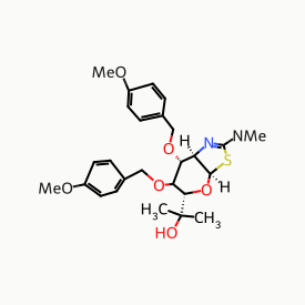 CNC1=N[C@H]2[C@H](O[C@H](C(C)(C)O)C(OCc3ccc(OC)cc3)[C@@H]2OCc2ccc(OC)cc2)S1